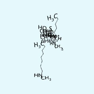 CCCCCCCC.CCCCCCCC.CCCCCCCC.CCCCCCCC.CCCCCCCCNC.CCCCCCCCNC.O=S(=O)(O)OOS(=O)(=O)O